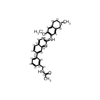 COc1cc2c(cc1Nc1ncc3ccc(-c4cccc(CNC(C)=O)c4)cc3n1)CN(C)CC2